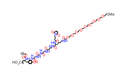 COCCOCCOCCOCCOCCOCCOCCOCCOCCOCC(=O)NCCCC[C@H](NC(=O)CCCN1C(=O)C=CC1=O)C(=O)NCCCC(=O)NCC(=O)NCC(=O)NCC(=O)Nc1cc(C[C@@H](C[C@H](C)C(=O)O)NC(=O)OC(C)(C)C)ccc1O